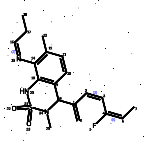 C=C(/C=C\C(F)=C/C)C1c2ccc(C)c(/N=C\CC)c2NS(=O)(=O)N1C